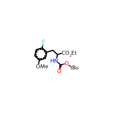 CCOC(=O)C(Cc1cc(OC)ccc1F)NC(=O)OC(C)(C)C